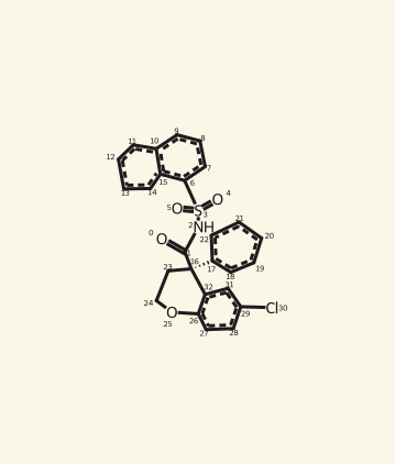 O=C(NS(=O)(=O)c1cccc2ccccc12)[C@]1(c2ccccc2)CCOc2ccc(Cl)cc21